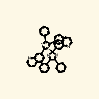 c1ccc(C2=NC(c3ccc4cccnc4c3)(n3c(-c4ccc5cccnc5c4)nc(-c4ccccc4)c3-c3ccccc3)N=C2c2ccccc2)cc1